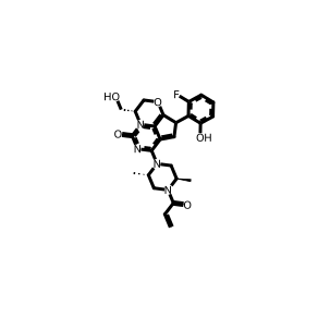 C=CC(=O)N1C[C@H](C)N(c2nc(=O)n3c4c2=CC(c2c(O)cccc2F)C=4OC[C@H]3CO)C[C@H]1C